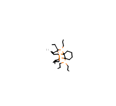 CCCP(CCC)C1(P(CCC)CCC)CCCCC1(P(CCC)CCC)P(CCC)CCC